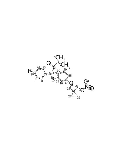 CC(C)C(=O)c1c(-c2ccc(F)cc2)sc2cc(OCC3(CO[N+](=O)[O-])CC3)ccc12